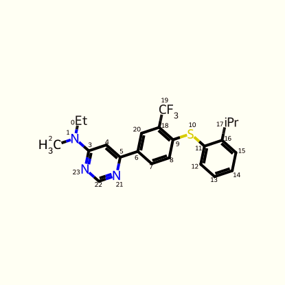 CCN(C)c1cc(-c2ccc(Sc3ccccc3C(C)C)c(C(F)(F)F)c2)ncn1